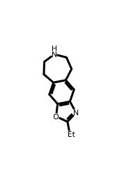 CCc1nc2cc3c(cc2o1)CCNCC3